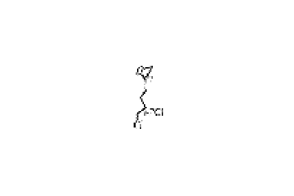 ClC[C@H](Cl)CC[C@H]1CO1